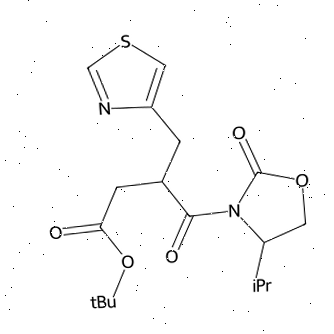 CC(C)C1COC(=O)N1C(=O)C(CC(=O)OC(C)(C)C)Cc1cscn1